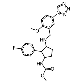 COC(=O)NC1CCC(NCc2cc(-n3cnnn3)ccc2OC)C1c1ccc(F)cc1